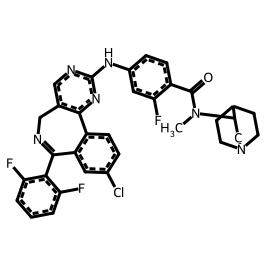 CN(C(=O)c1ccc(Nc2ncc3c(n2)-c2ccc(Cl)cc2C(c2c(F)cccc2F)=NC3)cc1F)C1CN2CCC1CC2